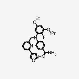 CCOc1cc(OC(C)C)c(F)c(N(Cc2cccc(-c3ccoc3)n2)c2ccc(C(=N)N)cc2)c1